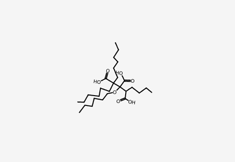 CCCCCCOC(C(=O)O)(C(CCCC)C(=O)O)C(CCCCCC)(CCCCCC)C(=O)O